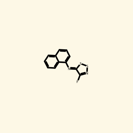 Fc1nssc1=Nc1cccc2ccccc12